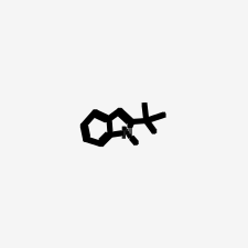 Cn1c(C(C)(C)C)cc2ccccc21